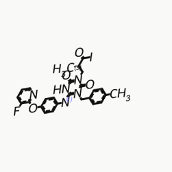 Cc1ccc(Cn2c(=O)n(C[C@H](C)C(=O)I)c(=O)[nH]/c2=N\c2ccc(Oc3ncccc3F)cc2)cc1